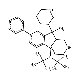 CC(C)(C)P(Cc1ccc(-c2ccccc2)cc1C(P)(C1CCCNC1)C1CCCNC1)C(C)(C)C